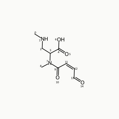 CNCC(C(=O)O)N(C)C(=O)/C=C\C=O